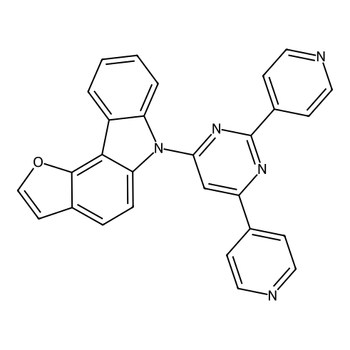 c1ccc2c(c1)c1c3occc3ccc1n2-c1cc(-c2ccncc2)nc(-c2ccncc2)n1